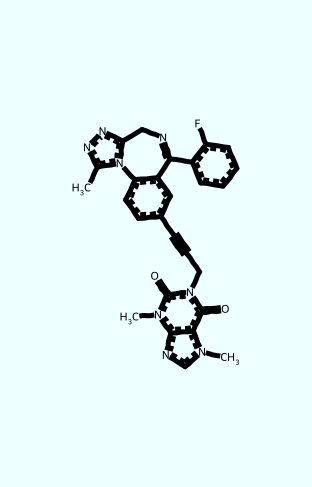 Cc1nnc2n1-c1ccc(C#CCn3c(=O)c4c(ncn4C)n(C)c3=O)cc1C(c1ccccc1F)=NC2